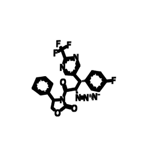 [N-]=[N+]=N[C@H](C(=O)N1C(=O)OCC1c1ccccc1)[C@@H](c1ccc(F)cc1)c1cnc(C(F)(F)F)nc1